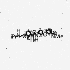 CNC(=O)c1cc(Oc2cccc(NC(=O)Nc3cccc(OCCNC(C)C)c3C(F)(F)F)c2)ccn1